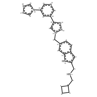 c1cc2cc(CNCC3CCC3)[nH]c2cc1Cn1cc(-c2cncc(-n3cnnc3)c2)nn1